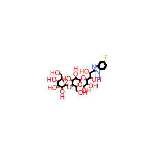 OCC1O[C@H](O[C@@H]2C(CO)O[C@H](O[C@H](C(O)CO)[C@H](O)C(O)c3nc4cc(F)ccc4[nH]3)C(O)[C@H]2O)C(O)[C@@H](O)[C@@H]1O